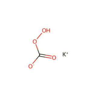 O=C([O-])OO.[K+]